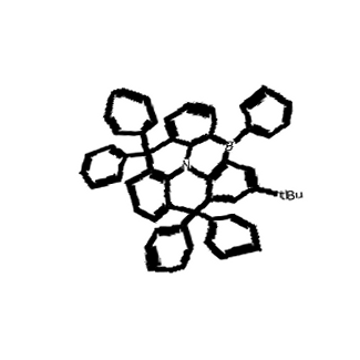 CC(C)(C)c1cc2c3c(c1)C(c1ccccc1)(c1ccccc1)c1cccc4c1N3c1c(cccc1C4(c1ccccc1)c1ccccc1)B2c1ccccc1